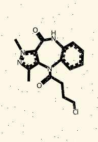 Cc1nn(C)c2c1N(C(=O)CCCCl)c1ccccc1NC2=O